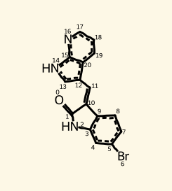 O=C1Nc2cc(Br)ccc2C1=Cc1c[nH]c2ncccc12